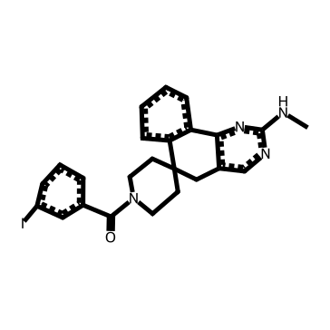 CNc1ncc2c(n1)-c1ccccc1C1(CCN(C(=O)c3cccc(I)c3)CC1)C2